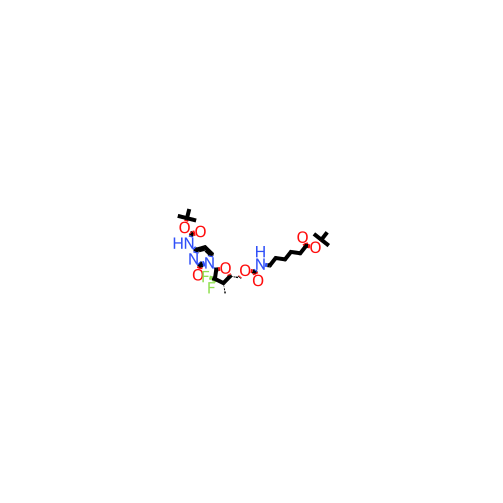 C[C@H]1[C@@H](COC(=O)NCCCCCC(=O)OC(C)(C)C)O[C@@H](n2ccc(NC(=O)OC(C)(C)C)nc2=O)C1(F)F